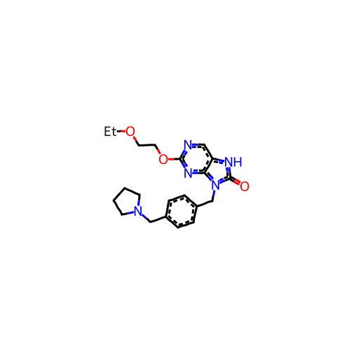 CCOCCOc1ncc2[nH]c(=O)n(Cc3ccc(CN4CCCC4)cc3)c2n1